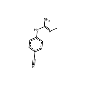 CN=C(N)Nc1ccc(C#N)cc1